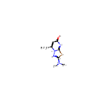 CCOC(=O)c1cc(=O)nc2sc(N(C(C)C)C(C)C)nn12